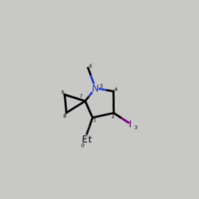 CCC1C(I)CN(C)C12CC2